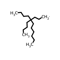 [CH2]CCC(CCCC)(CCCC)CCCCCC